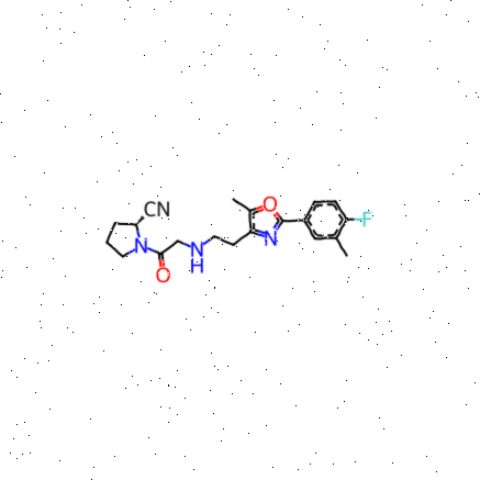 Cc1cc(-c2nc(CCNCC(=O)N3CCC[C@H]3C#N)c(C)o2)ccc1F